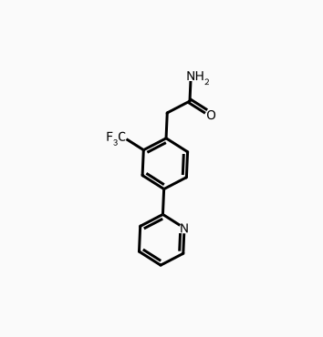 NC(=O)Cc1ccc(-c2ccccn2)cc1C(F)(F)F